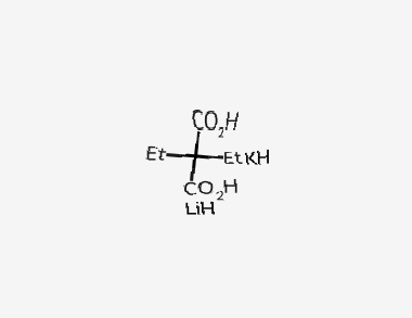 CCC(CC)(C(=O)O)C(=O)O.[KH].[LiH]